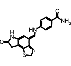 NC(=O)c1ccc(NC=c2cc3c(c4c2=NCS4)CC(=O)N3)cc1